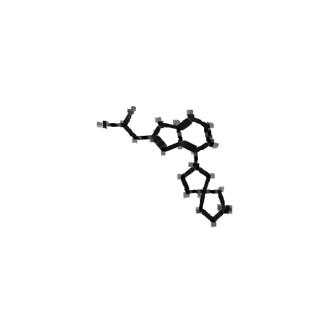 FC(F)Cc1cc2c(N3CCC4(CCNC4)C3)ncnc2s1